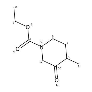 CCOC(=O)N1CCC(C)C(=O)C1